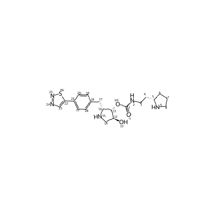 O=C(NCC[C@@H]1CCCN1)O[C@@H]1[C@@H](O)CN[C@@H]1Cc1ccc(-c2cnns2)cc1